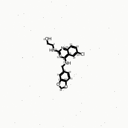 OCCNc1nc(NCc2ccc3c(c2)OCO3)c2cc(Cl)ccc2n1